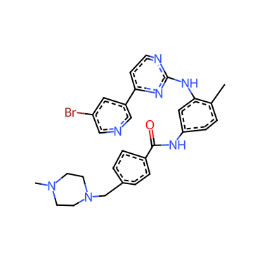 Cc1ccc(NC(=O)c2ccc(CN3CCN(C)CC3)cc2)cc1Nc1nccc(-c2cncc(Br)c2)n1